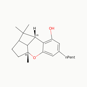 CCCCCc1cc(O)c2c(c1)O[C@]1(C)CCC3C1[C@@H]2C3(C)C